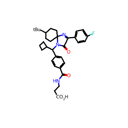 CC(C)(C)C1CCC2(CC1)N=C(c1ccc(F)cc1)C(=O)N2C(c1ccc(C(=O)NCCC(=O)O)cc1)C1CCC1